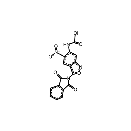 O=C(O)Nc1cc2noc(N3C(=O)c4ccccc4C3=O)c2cc1[N+](=O)[O-]